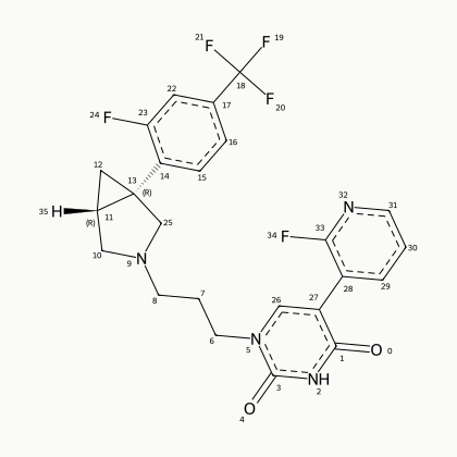 O=c1[nH]c(=O)n(CCCN2C[C@@H]3C[C@@]3(c3ccc(C(F)(F)F)cc3F)C2)cc1-c1cccnc1F